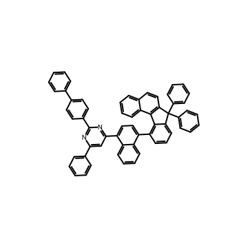 c1ccc(-c2ccc(-c3nc(-c4ccccc4)cc(-c4ccc(-c5cccc6c5-c5c(ccc7ccccc57)C6(c5ccccc5)c5ccccc5)c5ccccc45)n3)cc2)cc1